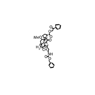 COC1CC(=O)[N+](C(=O)[C@H](C)N)([C@@H](CCCCNC(=O)OCc2ccccc2)C(=O)N2CCC[C@@H]2C(=O)OCC(=O)c2ccccc2)C1=O